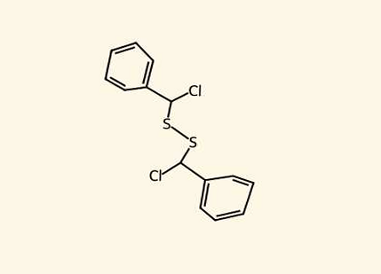 ClC(SSC(Cl)c1ccccc1)c1ccccc1